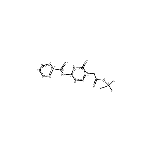 CC(C)(C)OC(=O)Cn1ccc(NC(=O)c2ccccc2)nc1=O